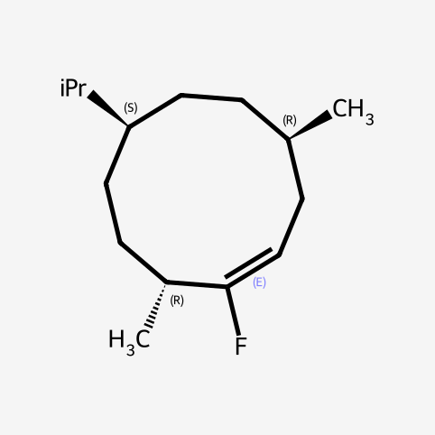 CC(C)[C@H]1CC[C@@H](C)C/C=C(/F)[C@H](C)CC1